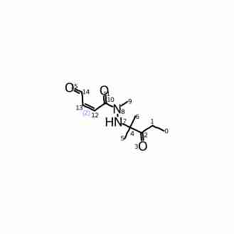 CCC(=O)C(C)(C)NN(C)C(=O)/C=C\C=O